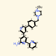 CC(C)(C)N1CCN(Cc2ccc(-c3cncc(-c4cc(N)nc(-c5ccccn5)c4)c3)cc2)CC1